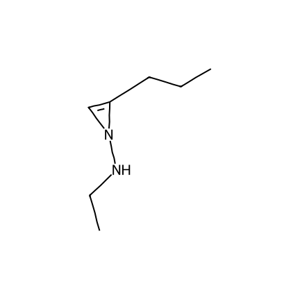 CCCC1=CN1NCC